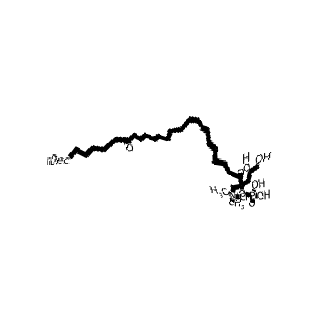 CCCCCCCCCCCCCCCC(=O)CCCCCCCC/C=C\CCCCCCCC(=O)C(CC(O)CO)(C[N+](C)(C)C)OP(=O)(O)O